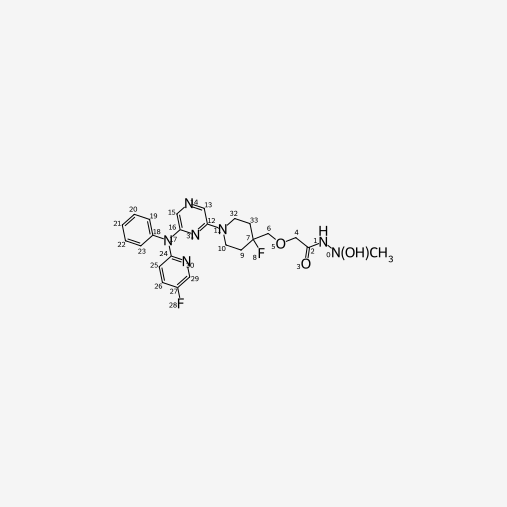 CN(O)NC(=O)COCC1(F)CCN(c2cncc(N(c3ccccc3)c3ccc(F)cn3)n2)CC1